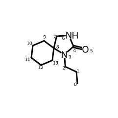 CCCN1C(=O)NCC12CCCCC2